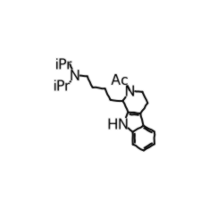 CC(=O)N1CCc2c([nH]c3ccccc23)C1CCCCN(C(C)C)C(C)C